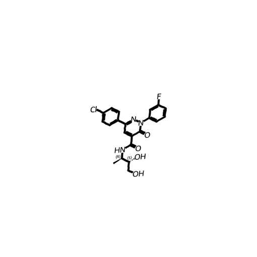 C[C@@H](NC(=O)c1cc(-c2ccc(Cl)cc2)nn(-c2cccc(F)c2)c1=O)[C@H](O)CO